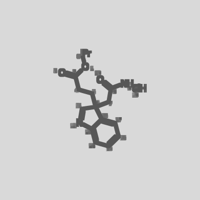 CC(C)OC(=O)CCC1(CC(N)=O)C=Nc2ccccc21.Cl